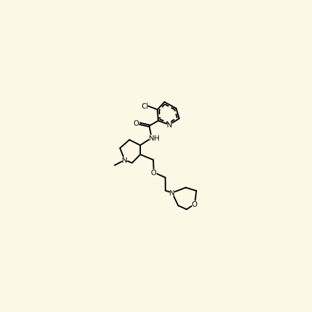 CN1CCC(NC(=O)c2ncccc2Cl)C(COCCN2CCOCC2)C1